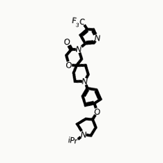 CC(C)N1CCC(Oc2ccc(N3CCC4(CC3)CN(c3cncc(C(F)(F)F)c3)C(=O)CO4)cc2)CC1